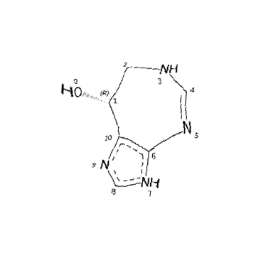 O[C@@H]1CNC=Nc2[nH]cnc21